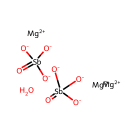 O.[Mg+2].[Mg+2].[Mg+2].[O]=[Sb]([O-])([O-])[O-].[O]=[Sb]([O-])([O-])[O-]